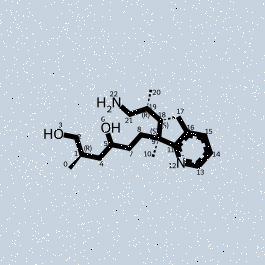 C[C@@H](CO)CC(O)CC[C@]1(C)c2ncccc2C[C@H]1[C@@H](C)CN